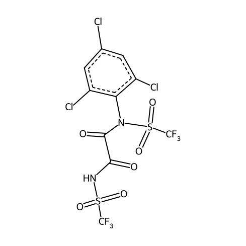 O=C(NS(=O)(=O)C(F)(F)F)C(=O)N(c1c(Cl)cc(Cl)cc1Cl)S(=O)(=O)C(F)(F)F